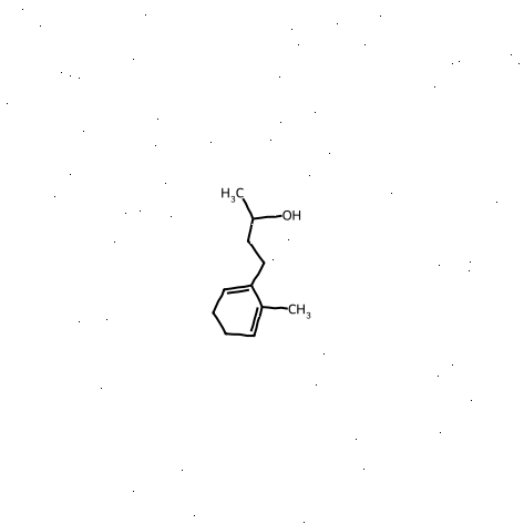 CC1=CCCC=C1CCC(C)O